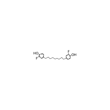 Oc1ccc(CCCCCCCCCc2ccc(O)c(F)c2)cc1F